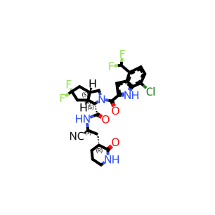 N#C[C@H](C[C@H]1CCCNC1=O)NC(=O)[C@@H]1[C@@H]2CC(F)(F)C[C@@H]2CN1C(=O)c1cc2c(C(F)F)ccc(Cl)c2[nH]1